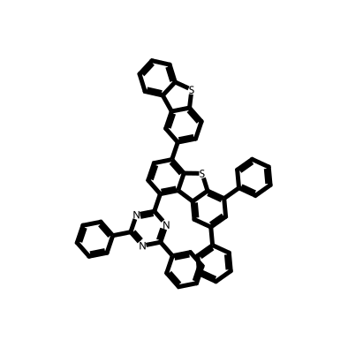 c1ccc(-c2cc(-c3ccccc3)c3sc4c(-c5ccc6sc7ccccc7c6c5)ccc(-c5nc(-c6ccccc6)nc(-c6ccccc6)n5)c4c3c2)cc1